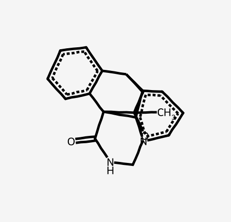 CC12CC3c4ccccc4C1(C(=O)NCO2)c1ncccc13